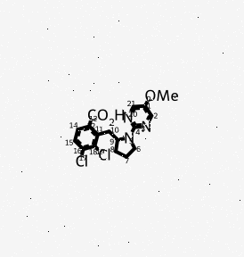 COc1cnc(N2CCCC2Cc2c(C(=O)O)ccc(Cl)c2Cl)nc1